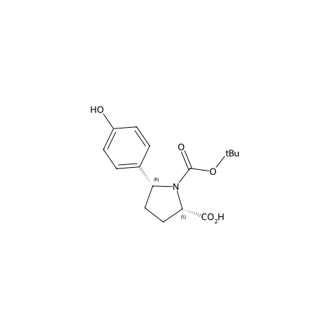 CC(C)(C)OC(=O)N1[C@@H](c2ccc(O)cc2)CC[C@H]1C(=O)O